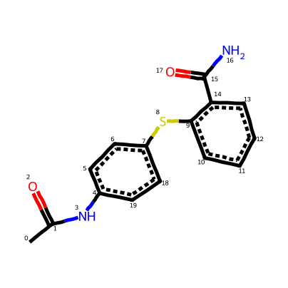 CC(=O)Nc1ccc(Sc2ccccc2C(N)=O)cc1